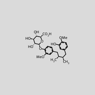 COc1ccc(C[C@@H](C)[C@@H](C)Cc2ccc(O[C@@H]3O[C@H](C(=O)O)[C@@H](O)[C@H](O)[C@H]3O)c(OC)c2)cc1O